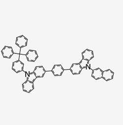 c1ccc(C(c2ccccc2)(c2ccccc2)c2cccc(-n3c4ccccc4c4cc(-c5ccc(-c6ccc7c(c6)c6ccccc6n7-c6ccc7ccccc7c6)cc5)ccc43)c2)cc1